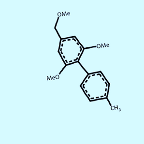 COCc1cc(OC)c(-c2ccc(C)cc2)c(OC)c1